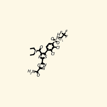 CCN(CC)C(=O)c1nc(-c2nnc(C(N)=O)o2)sc1-c1ccc(S(=O)(=O)N[C@@H](C)C(F)(F)F)c(Cl)c1Cl